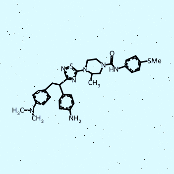 CSc1ccc(NC(=O)N2CCN(c3nc(C(Cc4ccc(N(C)C)cc4)c4ccc(N)cc4)ns3)C(C)C2)cc1